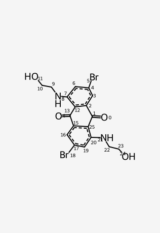 O=C1c2cc(Br)cc(NCCO)c2C(=O)c2cc(Br)cc(NCCO)c21